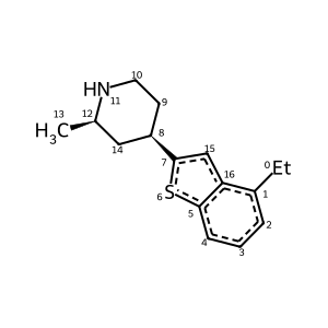 CCc1cccc2sc([C@@H]3CCN[C@H](C)C3)cc12